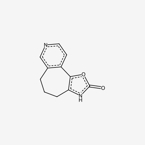 O=c1[nH]c2c(o1)-c1ccncc1CCC2